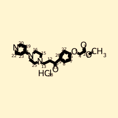 COC(=O)COc1ccc(C(=O)CCN2CCN(c3ccncc3)CC2)cc1.Cl